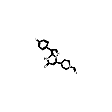 O=CN1CCC(c2cc(=O)[nH]c3c(-c4ccc(F)cc4)cnn23)CC1